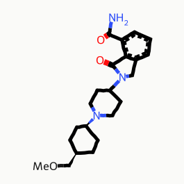 COC[C@H]1CC[C@@H](N2CCC(N3Cc4cccc(C(N)=O)c4C3=O)CC2)CC1